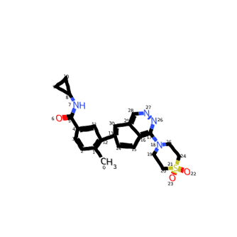 Cc1ccc(C(=O)NC2CC2)cc1-c1ccc2c(N3CCS(=O)(=O)CC3)nncc2c1